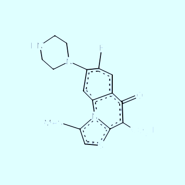 CSc1csc2c(C(=O)O)c(=O)c3cc(F)c(N4CCNCC4)cc3n12